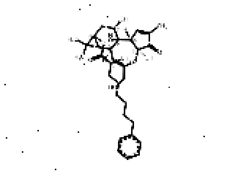 CC1=C[C@H]2[C@@]3(O)[C@H](C)C[C@]4(OC(=O)[C@@H](N)CCCCCCc5ccccc5)C([C@@H]3C=C(CO)C[C@]2(O)C1=O)C4(C)C